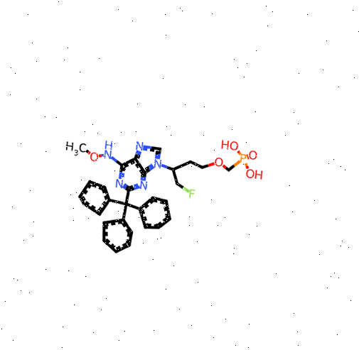 CONc1nc(C(c2ccccc2)(c2ccccc2)c2ccccc2)nc2c1ncn2C(CF)CCOCP(=O)(O)O